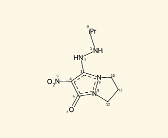 CC(C)NNc1c([N+](=O)[O-])c(=O)n2n1CCC2